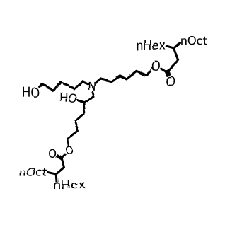 CCCCCCCCC(CCCCCC)CC(=O)OCCCCCCN(CCCCCO)CC(O)CCCCOC(=O)CC(CCCCCC)CCCCCCCC